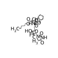 C=CCCCOC(=O)[C@H](C)N[P@](=O)(OCC1OC(n2ccc(=O)[nH]c2=O)[C@](C)(F)[C@@H]1O)Oc1ccccc1